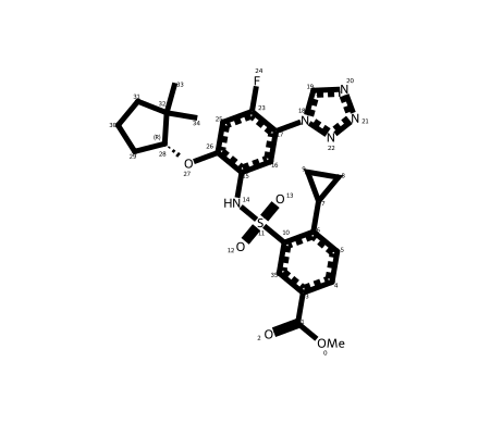 COC(=O)c1ccc(C2CC2)c(S(=O)(=O)Nc2cc(-n3cnnn3)c(F)cc2O[C@@H]2CCCC2(C)C)c1